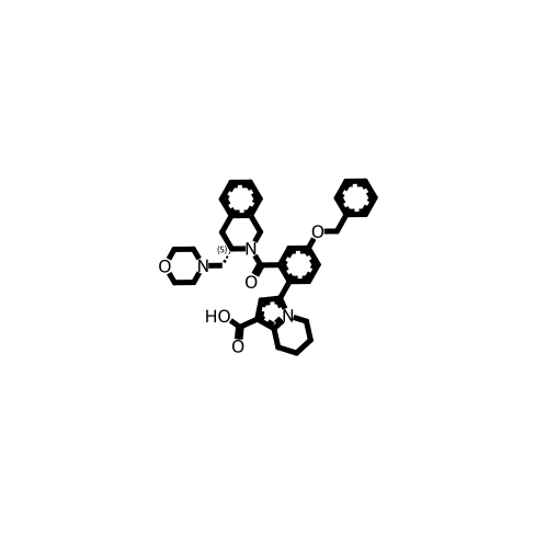 O=C(O)c1cc(-c2ccc(OCc3ccccc3)cc2C(=O)N2Cc3ccccc3C[C@H]2CN2CCOCC2)n2c1CCCC2